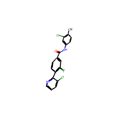 N#Cc1ccc(NC(=O)c2ccc(-c3ncccc3Cl)c(F)c2)cc1Cl